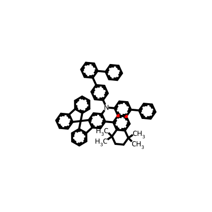 CC1(C)CCC(C)(C)c2c(-c3cc4c(cc3N(c3ccc(-c5ccccc5)cc3)c3ccc(-c5ccccc5-c5ccccc5)cc3)C3(c5ccccc5-c5ccccc53)c3ccccc3-4)cccc21